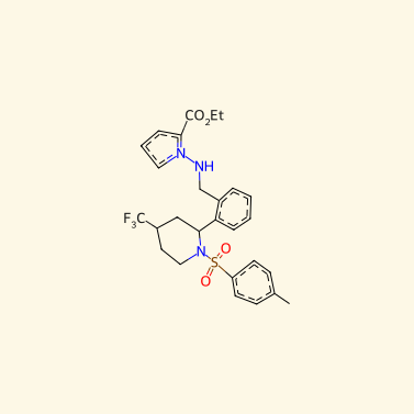 CCOC(=O)c1cccn1NCc1ccccc1C1CC(C(F)(F)F)CCN1S(=O)(=O)c1ccc(C)cc1